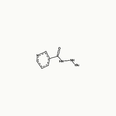 CC(C)(C)NNC(=O)c1cccnc1